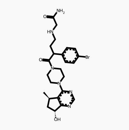 C[C@@H]1C[C@@H](O)c2ncnc(N3CCN(C(=O)C(CCNCC(N)=O)c4ccc(Br)cc4)CC3)c21